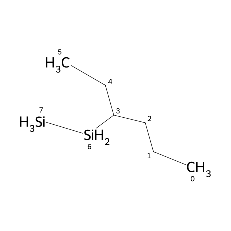 CCCC(CC)[SiH2][SiH3]